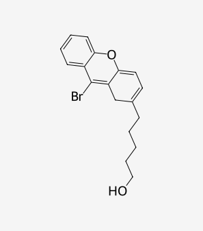 OCCCCCC1=CC=C2Oc3ccccc3C(Br)=C2C1